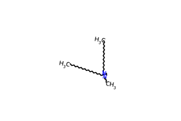 CCCCCCCCCCCCCCCCCCCC1N(CCCC)C=CN1CCCCCCCCCCCCCCCCC